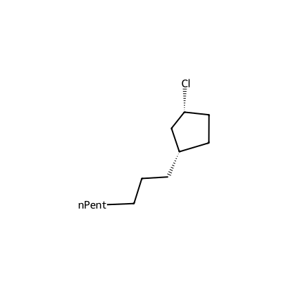 CCCCCCCC[C@H]1CC[C@@H](Cl)C1